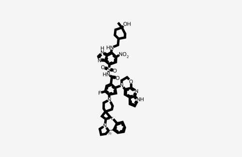 CC(C)c1ccccc1[C@@H]1CCCN1C1CC2(CCN(c3cc(N4CCOc5nc6[nH]ccc6cc54)c(C(=O)NS(=O)(=O)c4cc([N+](=O)[O-])c(NCC5CCC(C)(O)CC5)c5[nH]cnc45)cc3F)CC2)C1